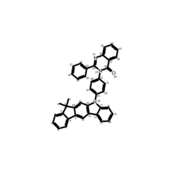 CC1(C)c2ccccc2-c2cc3c4ccccc4n(-c4ccc(-n5c(-c6ccccc6)nc6ccccc6c5=O)cc4)c3cc21